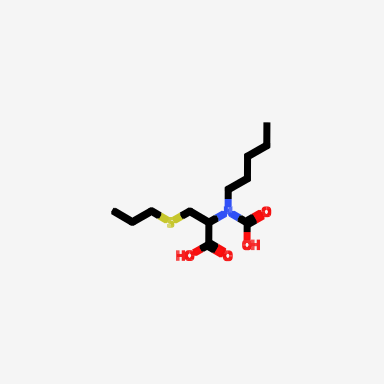 CCCCCN(C(=O)O)C(CSCCC)C(=O)O